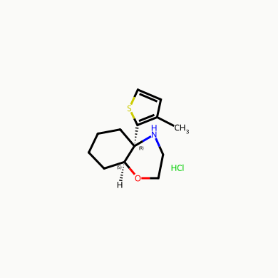 Cc1ccsc1[C@@]12CCCC[C@@H]1OCCN2.Cl